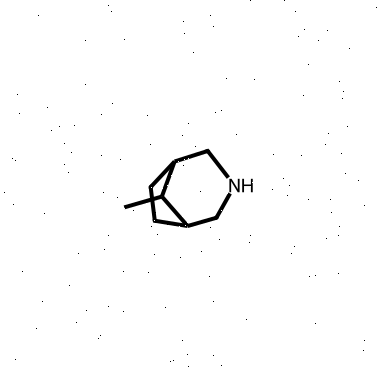 CC1C2CCC1CNC2